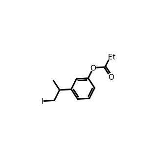 CCC(=O)Oc1cccc(C(C)CI)c1